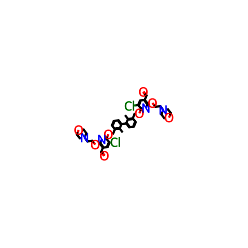 Cc1c(COc2nc(OCCN3CCOCC3)c(C=O)cc2Cl)cccc1-c1cccc(COc2nc(OCCN3CCOCC3)c(C=O)cc2Cl)c1C